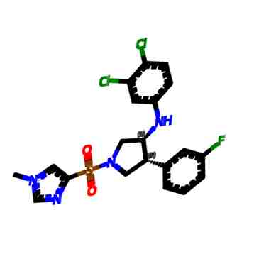 Cn1cnc(S(=O)(=O)N2C[C@@H](Nc3ccc(Cl)c(Cl)c3)[C@H](c3cccc(F)c3)C2)c1